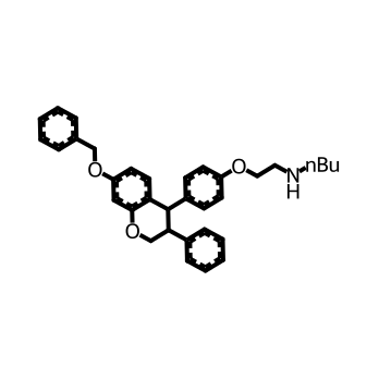 CCCCNCCOc1ccc(C2c3ccc(OCc4ccccc4)cc3OCC2c2ccccc2)cc1